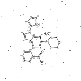 C[C@@H]1COCCN1c1cc(-c2ccccc2C(N)=O)c2cnn(-c3ccn[nH]3)c2n1